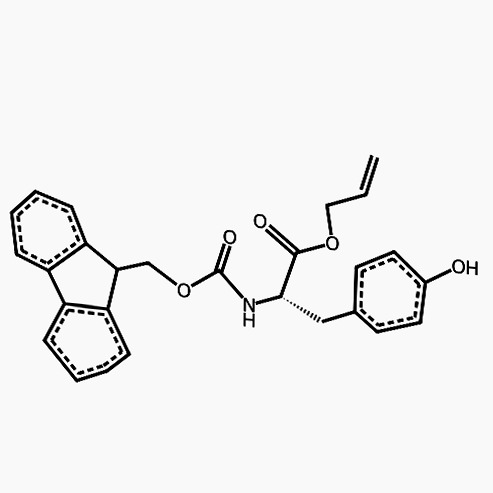 C=CCOC(=O)[C@H](Cc1ccc(O)cc1)NC(=O)OCC1c2ccccc2-c2ccccc21